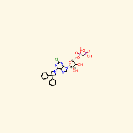 O=P(O)(O)CP(=O)(O)OC[C@H]1O[C@@H](n2cnc3c(N4CC(c5ccccc5)(c5ccccc5)C4)nc(Cl)nc32)[C@@H](O)C1O